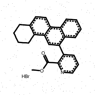 Br.COC(=O)c1ncccc1-c1cc2c3c(ccc2c2ccccc12)CCCC3